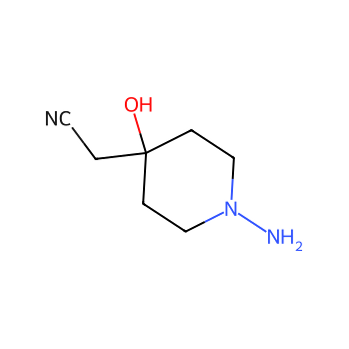 N#CCC1(O)CCN(N)CC1